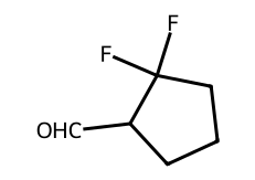 O=CC1CCCC1(F)F